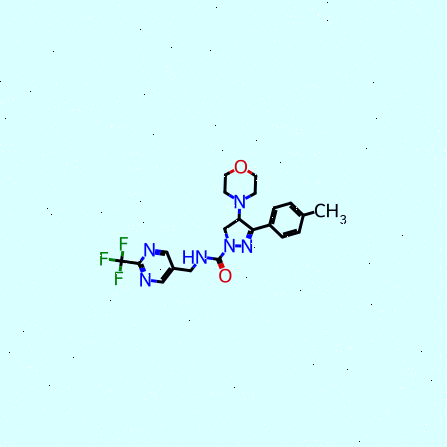 Cc1ccc(C2=NN(C(=O)NCc3cnc(C(F)(F)F)nc3)CC2N2CCOCC2)cc1